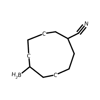 BC1CCCCC(C#N)CCCC1